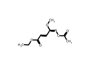 CCOC(=O)/C=C/C(=N\OC(C)=O)OC